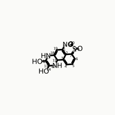 O=[N+]([O-])C1=C2C(=CC=CC2=S(=O)=O)C2NC(O)=C(O)NC2=C1